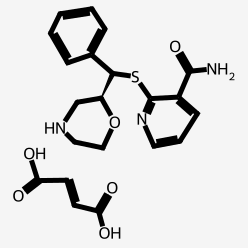 NC(=O)c1cccnc1SC(c1ccccc1)[C@@H]1CNCCO1.O=C(O)/C=C/C(=O)O